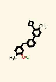 Cc1ccc(Cc2cccc(-c3ccc(C)c(C4CCC4)c3)c2)cc1OCl